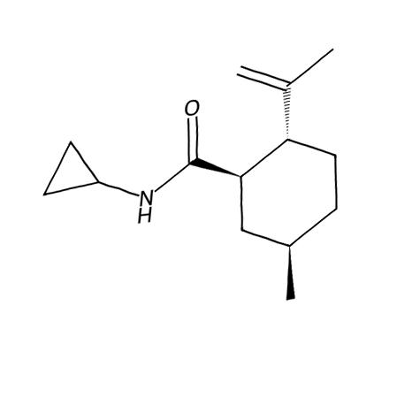 C=C(C)[C@@H]1CC[C@@H](C)C[C@H]1C(=O)NC1CC1